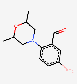 Bc1ccc(N2CC(C)OC(C)C2)c(C=O)c1